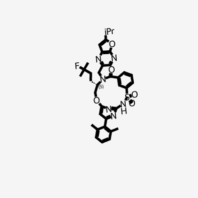 Cc1cccc(C)c1-c1cc2nc(n1)NS(=O)(=O)c1cccc(c1)C(=O)N(Cc1cnc3oc(C(C)C)cc3n1)[C@@H](CCC(C)(C)F)CO2